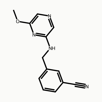 COc1cncc(NCc2cccc(C#N)c2)n1